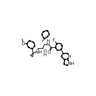 COc1cccc(C2(NC[C@@H](O)[C@H](Cc3ccccc3)NC(=O)c3cc(-c4cnc5[nH]ccc5c4)ccc3F)CC2)c1